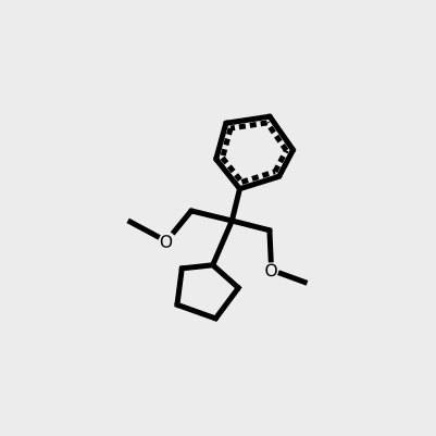 COCC(COC)(c1ccccc1)C1CCCC1